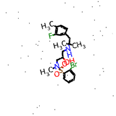 Cc1ccc(CC(C)(C)NCC(O)CN(C)S(=O)(=O)c2ccccc2Br)cc1F